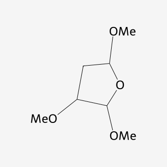 COC1CC(OC)C(OC)O1